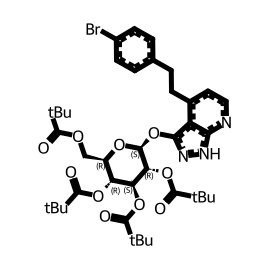 CC(C)(C)C(=O)OC[C@H]1O[C@@H](Oc2n[nH]c3nccc(CCc4ccc(Br)cc4)c23)[C@H](OC(=O)C(C)(C)C)[C@@H](OC(=O)C(C)(C)C)[C@@H]1OC(=O)C(C)(C)C